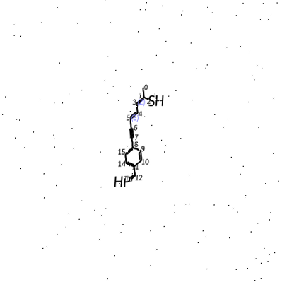 C/C(S)=C/C=C/C#Cc1ccc(C=P)cc1